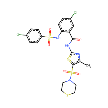 Cc1nc(NC(=O)c2cc(Cl)ccc2NS(=O)(=O)c2ccc(Cl)cc2)sc1S(=O)(=O)N1CCSCC1